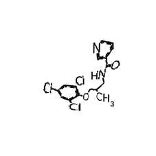 CC(CNC(=O)c1cccnc1)COc1c(Cl)cc(Cl)cc1Cl